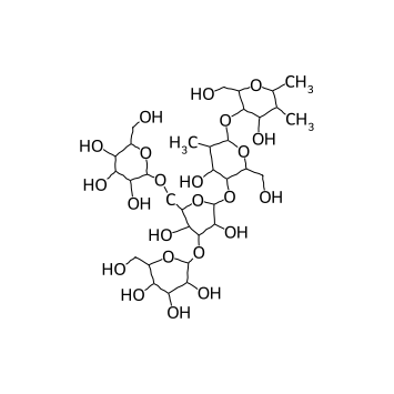 CC1OC(CO)C(OC2OC(CO)C(OC3OC(COC4OC(CO)C(O)C(O)C4O)C(O)C(OC4OC(CO)C(O)C(O)C4O)C3O)C(O)C2C)C(O)C1C